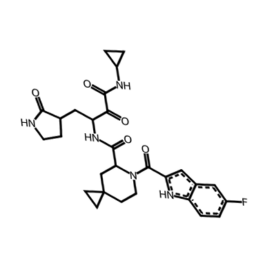 O=C(NC1CC1)C(=O)C(CC1CCNC1=O)NC(=O)C1CC2(CCN1C(=O)c1cc3cc(F)ccc3[nH]1)CC2